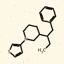 CCC(Cc1ccccc1)C1CCCN(c2ccsc2)C1